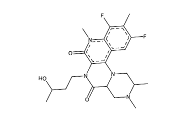 Cc1c(F)cc2c3c(c(=O)n(C)c2c1F)N(CCC(C)O)C(=O)C1CN(C)C(C)CN31